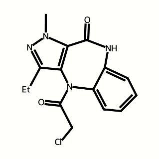 CCc1nn(C)c2c1N(C(=O)CCl)c1ccccc1NC2=O